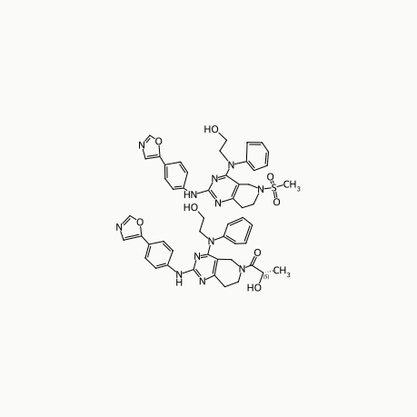 CS(=O)(=O)N1CCc2nc(Nc3ccc(-c4cnco4)cc3)nc(N(CCO)c3ccccc3)c2C1.C[C@H](O)C(=O)N1CCc2nc(Nc3ccc(-c4cnco4)cc3)nc(N(CCO)c3ccccc3)c2C1